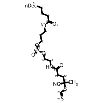 CCCCCCCCCCCCCC(=O)OCCCO[PH](=O)OCCNC(=O)CCC(C)(C#N)SC=S